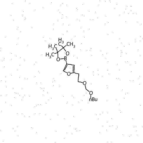 CCCCOCOCCc1cc(B2OC(C)(C)C(C)(C)O2)co1